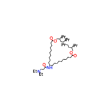 CCN(CC)CCC(=O)NC(CCCCCCCCCC(=O)OCC(CCC(C)C)C(C)C)CCCCCCCCCC(=O)OCC(CCC(C)C)C(C)C